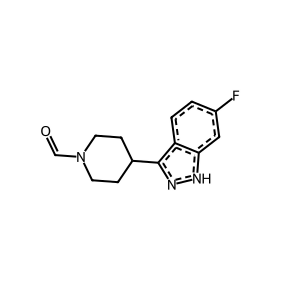 O=CN1CCC(c2n[nH]c3cc(F)ccc23)CC1